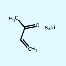 [CH2]C(=O)C=C.[NaH]